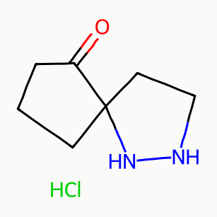 Cl.O=C1CCCC12CCNN2